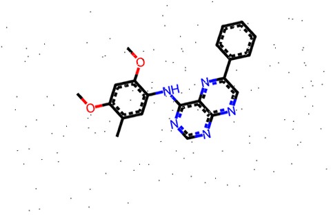 COc1cc(OC)c(Nc2ncnc3ncc(-c4ccccc4)nc23)cc1C